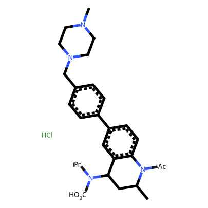 CC(=O)N1c2ccc(-c3ccc(CN4CCN(C)CC4)cc3)cc2C(N(C(=O)O)C(C)C)CC1C.Cl